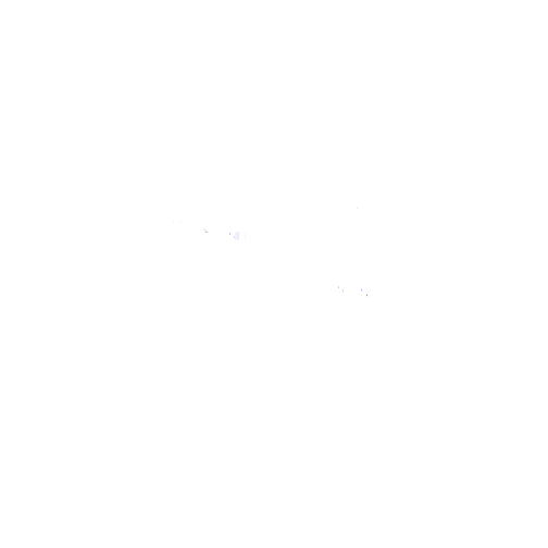 Cc1c(C(=O)NC[C@@H]2COCCO2)oc2c1-c1nn(C[C@H]3COCCO3)cc1C1(CC1)C2